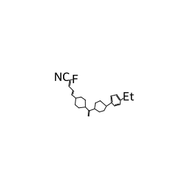 C=C(C1CCC(C=CC=C(F)C#N)CC1)C1CCC(c2ccc(CC)cc2)CC1